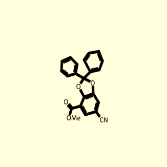 COC(=O)c1cc(C#N)cc2c1OC(c1ccccc1)(c1ccccc1)O2